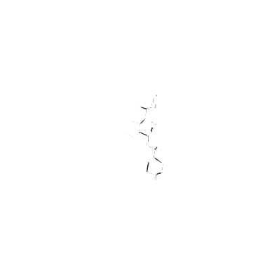 O=C(Nc1cnc(C(=O)NO)c(O)c1CO)c1ccc(F)cc1